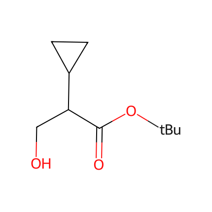 CC(C)(C)OC(=O)C(CO)C1CC1